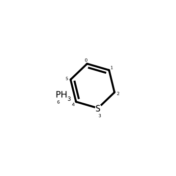 C1=CCSC=C1.P